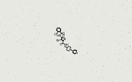 O=C(Nc1[nH]nc(C(=O)NCC2CCN(c3ccncc3)CC2)c1Br)c1ccccc1Cl